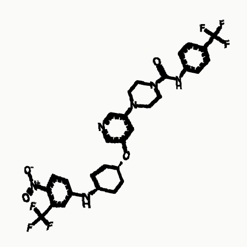 O=C(Nc1ccc(C(F)(F)F)cc1)N1CCN(c2cncc(O[C@H]3CC[C@H](Nc4ccc([N+](=O)[O-])c(C(F)(F)F)c4)CC3)c2)CC1